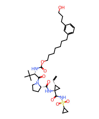 C=C[C@@H]1C[C@]1(NC(=O)[C@@H]1CCCN1C(=O)[C@@H](NC(=O)OCCCCCCCc1cccc(CCCO)c1)C(C)(C)C)C(=O)NS(=O)(=O)C1CC1